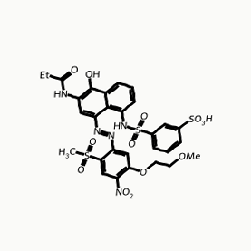 CCC(=O)Nc1cc(N=Nc2cc(OCCOC)c([N+](=O)[O-])cc2S(C)(=O)=O)c2c(NS(=O)(=O)c3cccc(S(=O)(=O)O)c3)cccc2c1O